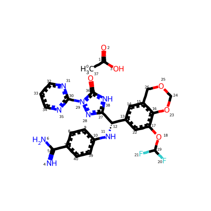 CC(=O)O.N=C(N)c1ccc(N[C@@H](c2cc3c(c(OC(F)F)c2)OCOC3)c2nn(-c3ncccn3)c(=O)[nH]2)cc1